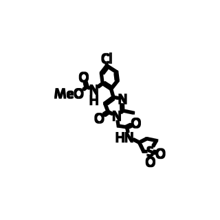 COC(=O)Nc1cc(Cl)ccc1-c1cc(=O)n(CC(=O)NC2CCS(=O)(=O)C2)c(C)n1